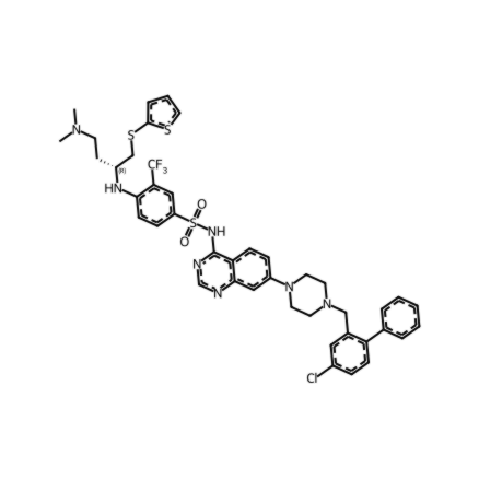 CN(C)CC[C@H](CSc1cccs1)Nc1ccc(S(=O)(=O)Nc2ncnc3cc(N4CCN(Cc5cc(Cl)ccc5-c5ccccc5)CC4)ccc23)cc1C(F)(F)F